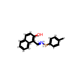 Cc1ccc(S/N=C/c2c(O)ccc3ccccc23)cc1